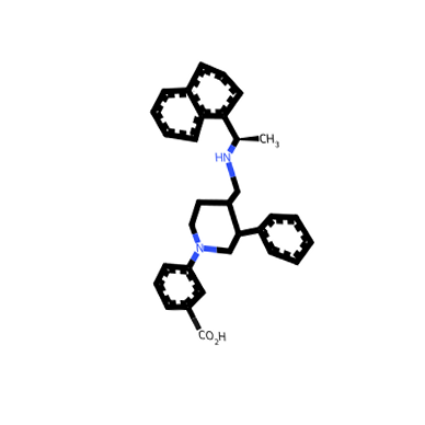 C[C@@H](NCC1CCN(c2cccc(C(=O)O)c2)CC1c1ccccc1)c1cccc2ccccc12